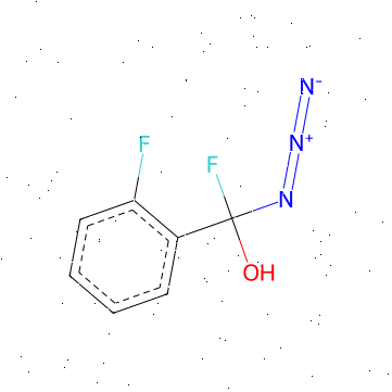 [N-]=[N+]=NC(O)(F)c1ccccc1F